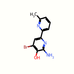 Cc1cccc(-c2cc(Br)c(O)c(N)n2)n1